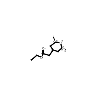 CCOC(=O)CC1C[C@@H](C)O[C@H](C)C1